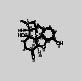 CN1CC23Cc4ccc(O)c5c4[C@@]4(C2)[C@@H](O5)C(=O)CCC4(O)[C@H]13